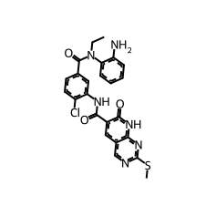 CCN(C(=O)c1ccc(Cl)c(NC(=O)c2cc3cnc(SC)nc3[nH]c2=O)c1)c1ccccc1N